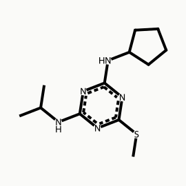 CSc1nc(NC(C)C)nc(NC2CCCC2)n1